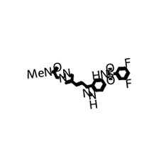 CNC(=O)Cn1cc(C=Cc2n[nH]c3ccc(NS(=O)(=O)c4cc(F)cc(F)c4)cc23)cn1